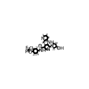 Cc1ncccc1Nc1cc(C(=O)Nc2ccc(OC(F)(F)Cl)cc2)cnc1N1CC[C@@H](O)C1